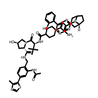 CC(=O)Nc1cc(-c2scnc2C)ccc1CNC(=O)[C@@H]1C[C@@H](O)CN1C(=O)[C@@H](NC(=O)C1CCC(c2cnc(N3C4CC[C@@H]3CN(c3cc(-c5ccccc5O)nnc3N)C4)nc2)CC1)C(C)(C)C